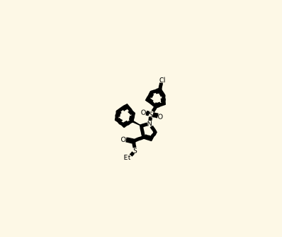 CCSC(=O)C1=CCN(S(=O)(=O)c2ccc(Cl)cc2)[C@@H]1c1ccccc1